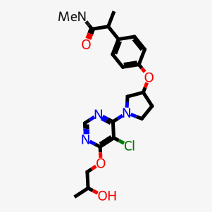 CNC(=O)C(C)c1ccc(OC2CCN(c3ncnc(OCC(C)O)c3Cl)C2)cc1